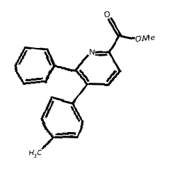 COC(=O)c1ccc(-c2ccc(C)cc2)c(-c2ccccc2)n1